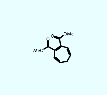 COC(=O)C1=C(C(=O)OC)C=CCC=C1